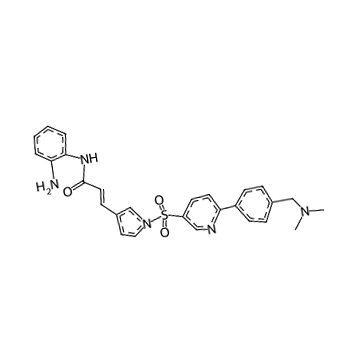 CN(C)Cc1ccc(-c2ccc(S(=O)(=O)n3ccc(C=CC(=O)Nc4ccccc4N)c3)cn2)cc1